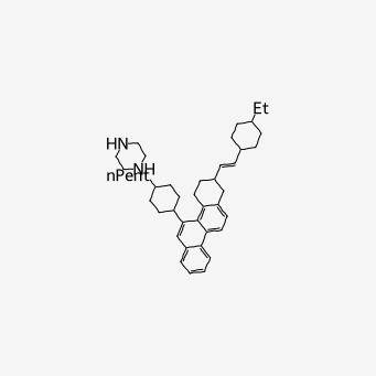 C1CNCCN1.CCCCCC1CCC(c2cc3ccccc3c3ccc4c(c23)CCC(C=CC2CCC(CC)CC2)C4)CC1